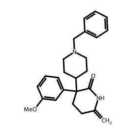 C=C1CCC(c2cccc(OC)c2)(C2CCN(Cc3ccccc3)CC2)C(=O)N1